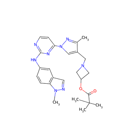 Cc1nn(-c2ccnc(Nc3ccc4c(cnn4C)c3)n2)cc1CN1CC(OC(=O)C(C)(C)C)C1